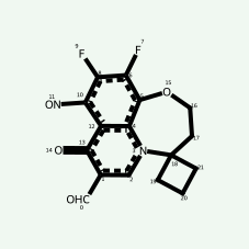 O=Cc1cn2c3c(c(F)c(F)c(N=O)c3c1=O)OCCC21CCC1